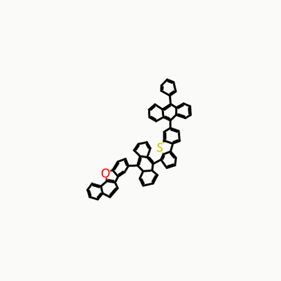 C1=CC2C(c3ccc4oc5c6ccccc6ccc5c4c3)=c3ccccc3=C(c3cccc4c3sc3cc(-c5c6ccccc6c(-c6ccccc6)c6ccccc56)ccc34)C2C=C1